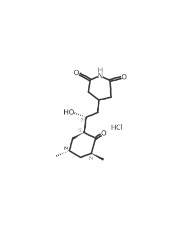 C[C@@H]1C[C@@H]([C@H](O)CC2CC(=O)NC(=O)C2)C(=O)[C@@H](C)C1.Cl